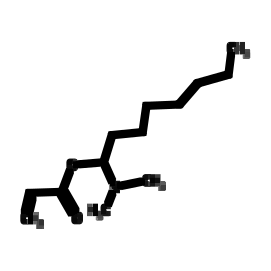 C=CC(=O)OC(CCCCCCC)N(C)C